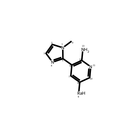 Cn1ccnc1-c1c[c]([RaH])cnc1N